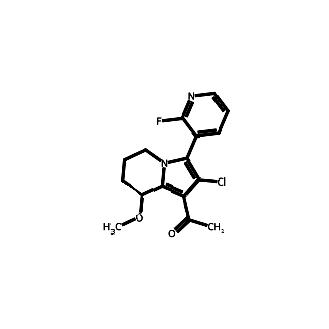 COC1CCCn2c(-c3cccnc3F)c(Cl)c(C(C)=O)c21